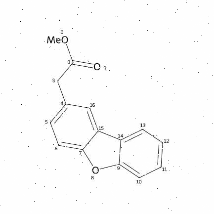 COC(=O)Cc1ccc2oc3ccccc3c2c1